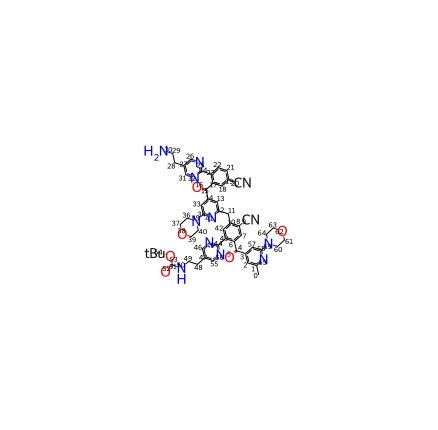 Cc1cc(C(=O)c2cc(C#N)c(Cc3cc(C(=O)c4cc(C#N)ccc4-c4ncc(CCN)cn4)cc(N4CCOCC4)n3)cc2-c2ncc(CCNC(=O)OC(C)(C)C)cn2)cc(N2CCOCC2)n1